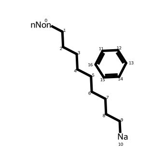 CCCCCCCCCCCCCCCCC[CH2][Na].c1ccccc1